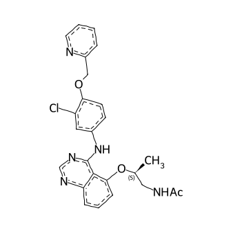 CC(=O)NC[C@H](C)Oc1cccc2ncnc(Nc3ccc(OCc4ccccn4)c(Cl)c3)c12